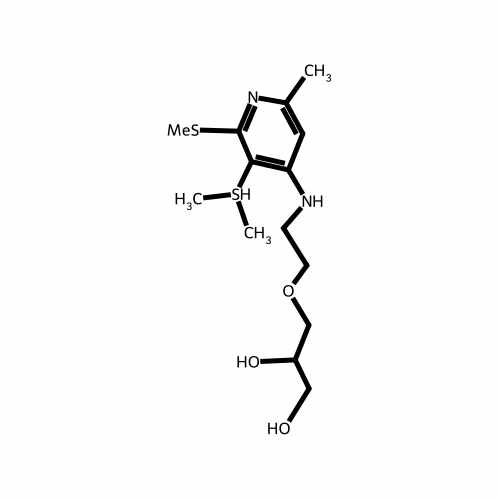 CSc1nc(C)cc(NCCOCC(O)CO)c1[SH](C)C